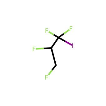 FCC(F)C(F)(F)I